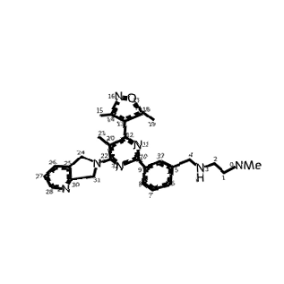 CNCCNCc1cccc(-c2nc(-c3c(C)noc3C)c(C)c(N3Cc4cccnc4C3)n2)c1